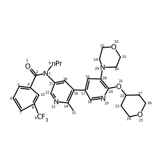 CCCN(C(=O)c1cccc(C(F)(F)F)c1)c1cnc(C)c(-c2cnc(OC3CCOCC3)c(N3CCOCC3)c2)c1